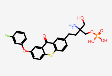 NC(CO)(CCc1ccc2sc3ccc(Oc4cccc(F)c4)cc3c(=O)c2c1)COP(=O)(O)O